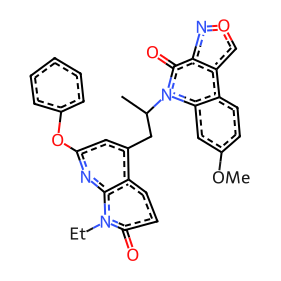 CCn1c(=O)ccc2c(CC(C)n3c(=O)c4nocc4c4ccc(OC)cc43)cc(Oc3ccccc3)nc21